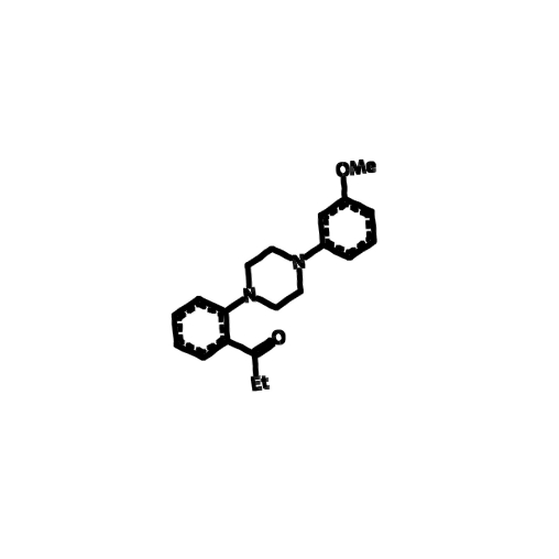 CCC(=O)c1ccccc1N1CCN(c2cccc(OC)c2)CC1